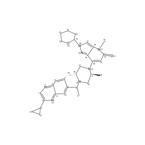 CC(c1ccc2ncc(C3CC3)nc2c1)N1C[C@H](C)N(c2cc(=O)n(C)c3cn(C4CCCCO4)nc23)C[C@H]1C